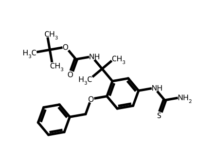 CC(C)(C)OC(=O)NC(C)(C)c1cc(NC(N)=S)ccc1OCc1ccccc1